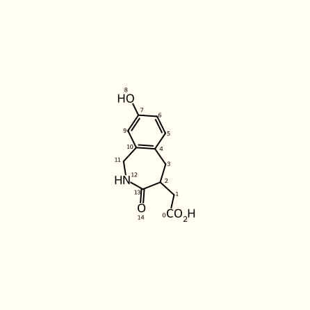 O=C(O)CC1Cc2ccc(O)cc2CNC1=O